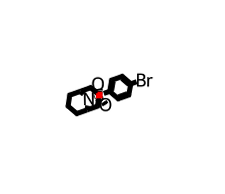 O=S(=O)(c1ccc(Br)cc1)N1C2CCCC1CCC2